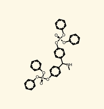 CNC(c1ccc(OP(=O)(Oc2ccccc2)Oc2ccccc2)cc1)c1ccc(OP(=O)(Oc2ccccc2)Oc2ccccc2)cc1